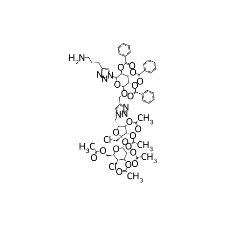 CC(=O)OC[C@H]1O[C@H](O[C@]2(CCl)O[C@H](Cn3cc(CO[C@H]4OC(n5cc(CCCN)nn5)[C@@H](OC(=O)c5ccccc5)[C@H](OC(=O)c5ccccc5)[C@@H]4OC(=O)c4ccccc4)nn3)[C@@H](OC(C)=O)[C@@H]2OC(C)=O)[C@H](OC(C)=O)[C@@H](OC(C)=O)[C@H]1Cl